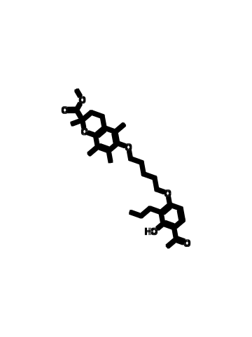 CCCc1c(OCCCCCOc2c(C)c(C)c3c(c2C)CCC(C)(C(=O)OC)O3)ccc(C(C)=O)c1O